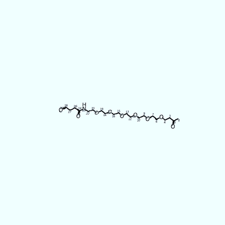 CC(=O)CCOCCOCCOCCOCCOCCOCCNC(=O)CCC=O